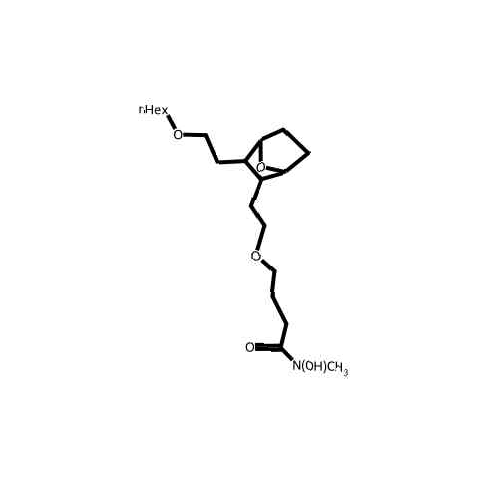 CCCCCCOCCC1C2CCC(O2)C1CCOCCCC(=O)N(C)O